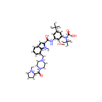 COc1c(NC(=O)c2cc3cccc(CN4CCN(C(=O)C5CCCN5C)CC4)c3n2C)cc(C(C)(C)C)cc1N(C(=O)O)C(C)(C)C